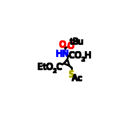 CCOC(=O)C1C(CSC(C)=O)C1C(NC(=O)OC(C)(C)C)C(=O)O